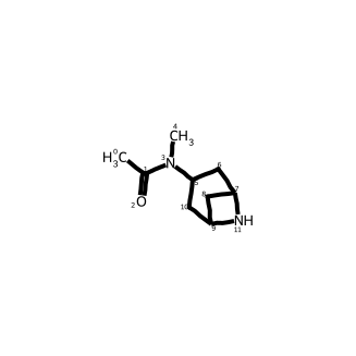 CC(=O)N(C)C1CC2CC(C1)N2